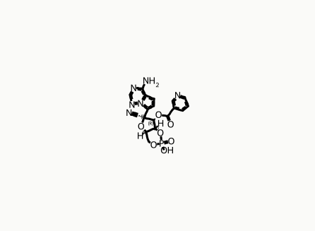 N#C[C@@]1(c2ccc3c(N)ncnn23)O[C@@H]2COP(=O)(O)O[C@H]2[C@H]1OC(=O)c1cccnc1